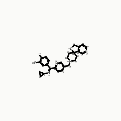 Fc1ccc(C(=NC2CC2)c2ccc(CN3CCC4(CC3)OCc3ccncc34)cn2)cc1F